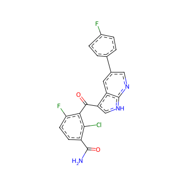 NC(=O)c1ccc(F)c(C(=O)c2c[nH]c3ncc(-c4ccc(F)cc4)cc23)c1Cl